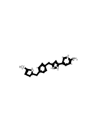 CC1=CCC(Cc2ccc(Cc3cc(-c4ccc(N)nc4)on3)cc2)O1